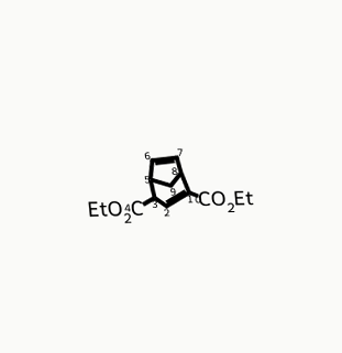 CCOC(=O)C1=CC(C(=O)OCC)C2C=CC1C2